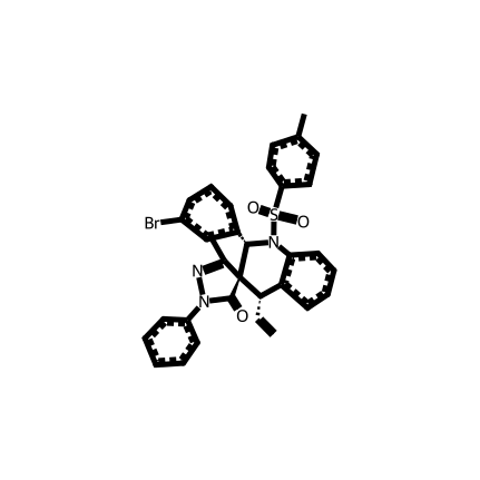 C=C[C@H]1c2ccccc2N(S(=O)(=O)c2ccc(C)cc2)[C@@H](c2cccc(Br)c2)[C@]12C(=O)N(c1ccccc1)N=C2C